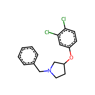 Clc1ccc(OC2CCN(Cc3ccccc3)C2)cc1Cl